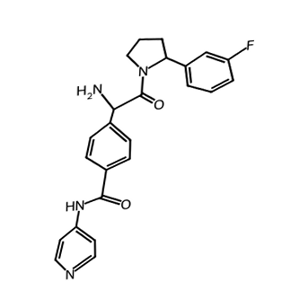 NC(C(=O)N1CCCC1c1cccc(F)c1)c1ccc(C(=O)Nc2ccncc2)cc1